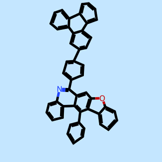 c1ccc(-c2c3c(cc4c(-c5ccc(-c6ccc7c8ccccc8c8ccccc8c7c6)cc5)nc5ccccc5c24)oc2ccccc23)cc1